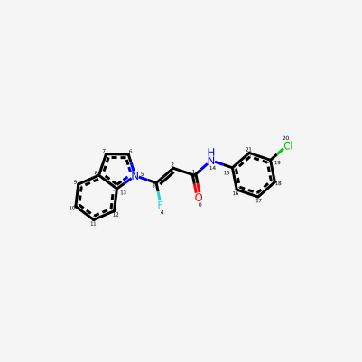 O=C(/C=C(\F)n1ccc2ccccc21)Nc1cccc(Cl)c1